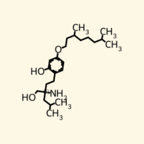 CC(C)CCCC(C)CCOc1ccc(CC[C@@](N)(CO)CC(C)C)c(O)c1